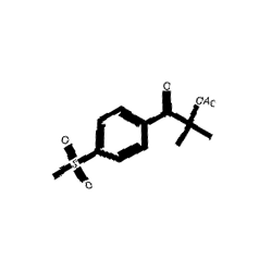 CC(=O)OC(C)(C)C(=O)c1ccc(S(C)(=O)=O)cc1